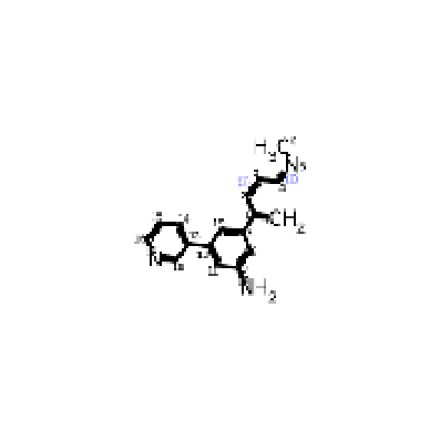 C=C(/C=C\C=N/C)c1cc(N)cc(-c2cccnc2)c1